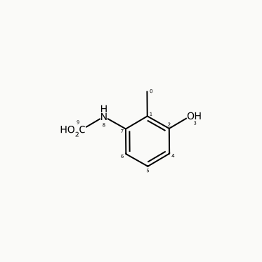 Cc1c(O)cccc1NC(=O)O